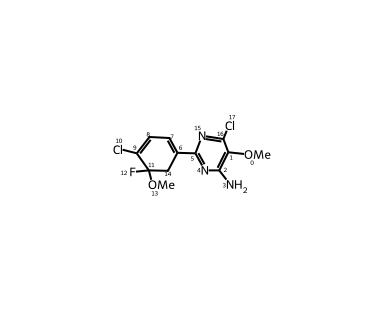 COc1c(N)nc(C2=CC=C(Cl)C(F)(OC)C2)nc1Cl